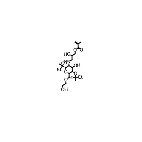 C=C(C)C(=O)OCC(O)CNC1C(O)[C@@H](OC(C)(CC)CC)C(COCCO)O[C@H]1C(C)(CC)CCC